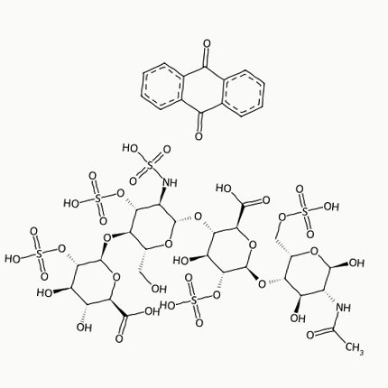 CC(=O)N[C@@H]1[C@@H](O)[C@H](O[C@@H]2O[C@H](C(=O)O)[C@@H](O[C@@H]3O[C@H](CO)[C@@H](O[C@H]4O[C@@H](C(=O)O)[C@H](O)[C@@H](O)[C@@H]4OS(=O)(=O)O)[C@H](OS(=O)(=O)O)[C@H]3NS(=O)(=O)O)[C@H](O)[C@H]2OS(=O)(=O)O)[C@H](COS(=O)(=O)O)O[C@H]1O.O=C1c2ccccc2C(=O)c2ccccc21